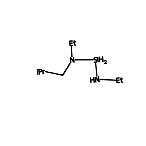 CCN[SiH2]N(CC)CC(C)C